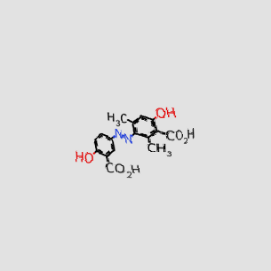 Cc1cc(O)c(C(=O)O)c(C)c1N=Nc1ccc(O)c(C(=O)O)c1